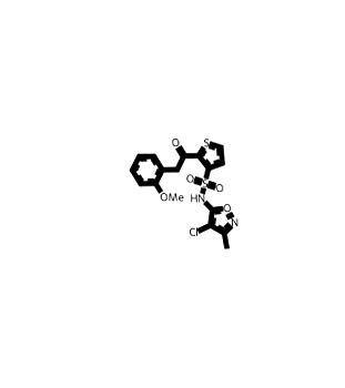 COc1ccccc1CC(=O)c1sccc1S(=O)(=O)Nc1onc(C)c1Cl